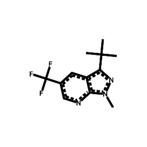 Cn1nc(C(C)(C)C)c2cc(C(F)(F)F)cnc21